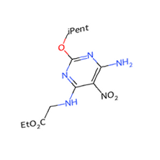 CCCC(C)Oc1nc(N)c([N+](=O)[O-])c(NCC(=O)OCC)n1